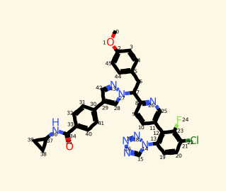 COc1ccc(CC(c2ccc(-c3c(-n4cnnn4)ccc(Cl)c3F)cn2)n2cc(-c3ccc(C(=O)NC4CC4)cc3)cn2)cc1